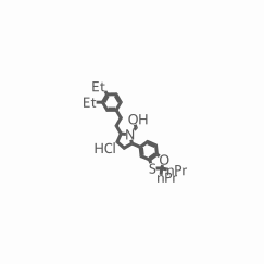 CCCC1(CCC)Oc2ccc(C3CCC(CCc4ccc(CC)c(CC)c4)N3CO)cc2S1.Cl